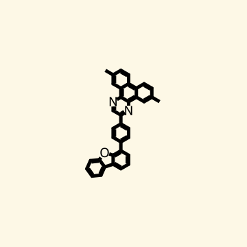 Cc1ccc2c3ccc(C)cc3c3nc(-c4ccc(-c5cccc6c5oc5ccccc56)cc4)cnc3c2c1